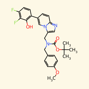 COc1ccc(CN(Cc2cnc3ccc(-c4ccc(F)c(F)c4O)cn23)C(=O)OC(C)(C)C)cc1